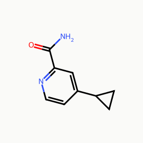 NC(=O)c1cc(C2CC2)ccn1